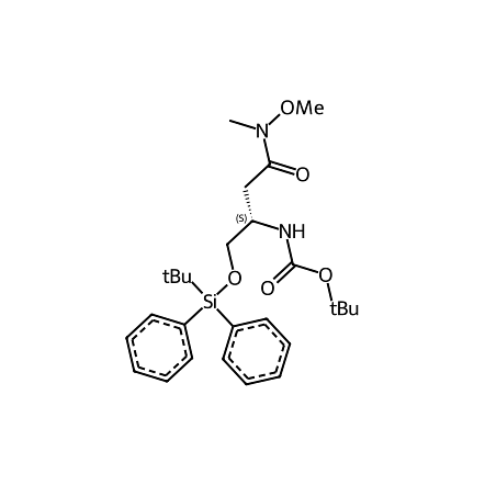 CON(C)C(=O)C[C@@H](CO[Si](c1ccccc1)(c1ccccc1)C(C)(C)C)NC(=O)OC(C)(C)C